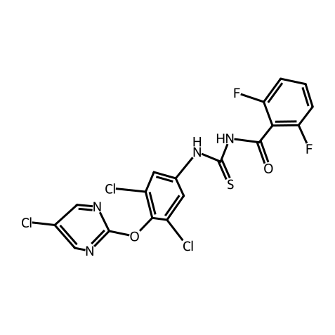 O=C(NC(=S)Nc1cc(Cl)c(Oc2ncc(Cl)cn2)c(Cl)c1)c1c(F)cccc1F